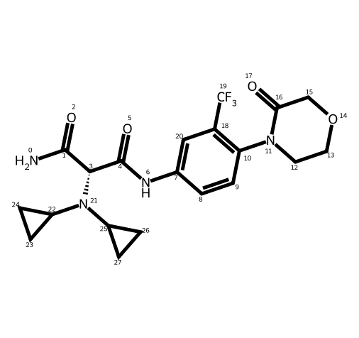 NC(=O)[C@H](C(=O)Nc1ccc(N2CCOCC2=O)c(C(F)(F)F)c1)N(C1CC1)C1CC1